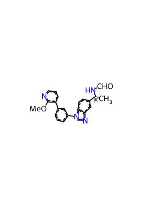 COc1ncccc1-c1cccc(-n2cnc3cc([C@@H](C)NC=O)ccc32)c1